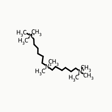 C[N+](C)(C)CCCCCC[N+](C)(C)CCCCCC[N+](C)(C)C